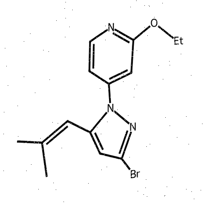 CCOc1cc(-n2nc(Br)cc2C=C(C)C)ccn1